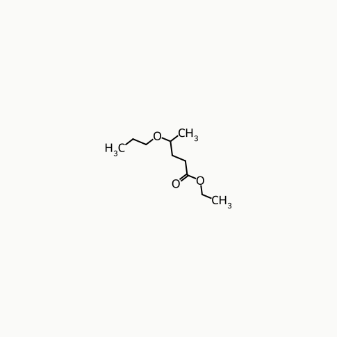 CCCOC(C)CCC(=O)OCC